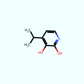 CC(C)c1ccnc(O)c1O